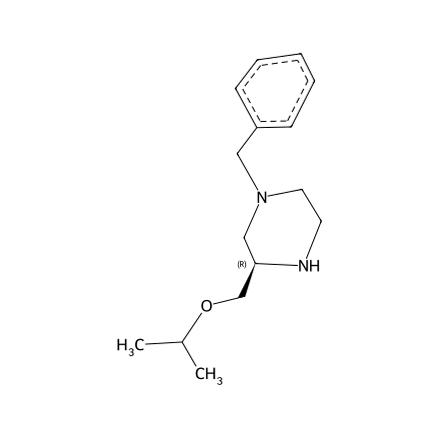 CC(C)OC[C@H]1CN(Cc2ccccc2)CCN1